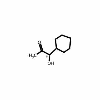 CC(=O)[C@H](O)C1CCCCC1